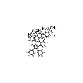 CC(C)(C)c1ccc2c(c1)c1cc(C(C)(C)C)c3c4c1n2-c1cccc2c1B4c1c4c-3cccc4cc3c(-c4ccccc4)c(-c4ccccc4)n-2c13